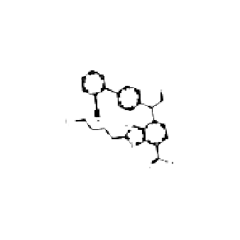 CCCCCc1nc2c(C(=O)O)ccc(C(CC)c3ccc(-c4ccccc4C#N)cc3)c2[nH]1